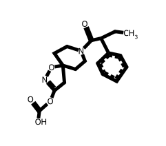 CCC(C(=O)N1CCC2(CC1)CC(OC(=O)O)=NO2)c1ccccc1